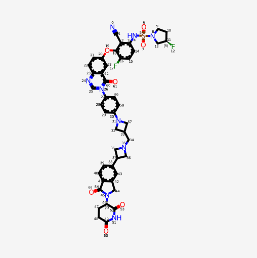 N#Cc1c(NS(=O)(=O)N2CC[C@@H](F)C2)ccc(F)c1Oc1ccc2ncn(-c3ccc(N4CC(CN5CC(c6ccc7c(c6)CN([C@@H]6CCC(=O)NC6=O)C7=O)C5)C4)cc3)c(=O)c2c1